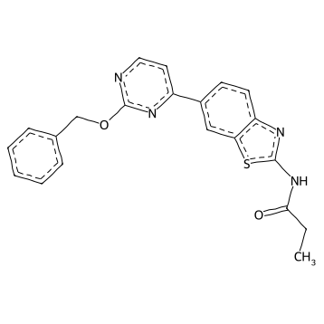 CCC(=O)Nc1nc2ccc(-c3ccnc(OCc4ccccc4)n3)cc2s1